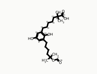 CC(C)(CCCCc1cc(O)cc(CCCCCC(C)(C)C(=O)O)c1O)OC=O